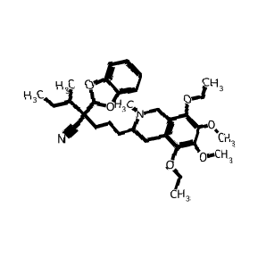 CCOc1c2c(c(OCC)c(OC)c1OC)CN(C)C(CCCC(C#N)(C(C)CC)C1Oc3ccccc3O1)C2